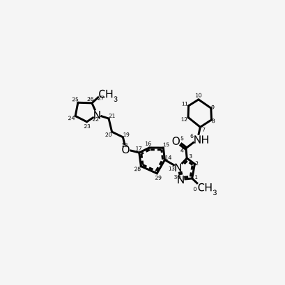 Cc1cc(C(=O)NC2CCCCC2)n(-c2ccc(OCCCN3CCCC3C)cc2)n1